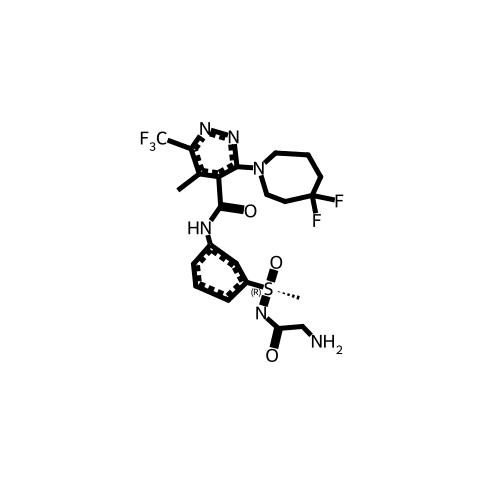 Cc1c(C(F)(F)F)nnc(N2CCCC(F)(F)CC2)c1C(=O)Nc1cccc([S@@](C)(=O)=NC(=O)CN)c1